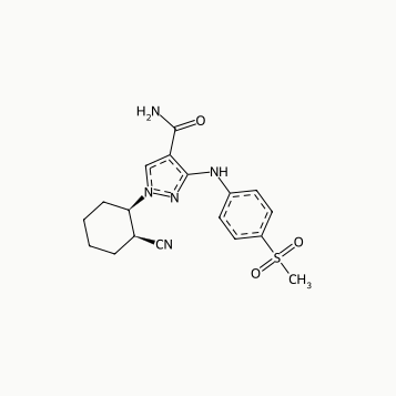 CS(=O)(=O)c1ccc(Nc2nn([C@@H]3CCCC[C@@H]3C#N)cc2C(N)=O)cc1